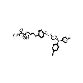 NC(=O)N(O)CCCCc1ccc(OCCN2CCN(C(c3ccc(F)cc3)c3ccc(F)cc3)CC2)cc1